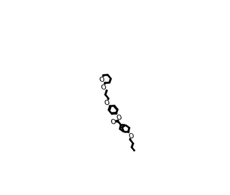 CCCCOC1CC2CC1CC2C(=O)Oc1ccc(OCCCOC2CCCCO2)cc1